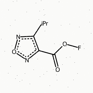 CC(C)c1nonc1C(=O)OF